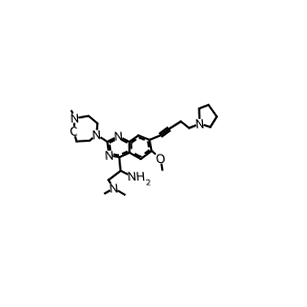 COc1cc2c(C(N)CN(C)C)nc(N3CCCN(C)CC3)nc2cc1C#CCCN1CCCC1